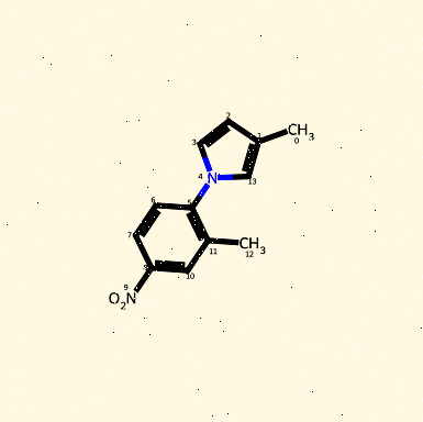 Cc1ccn(-c2ccc([N+](=O)[O-])cc2C)c1